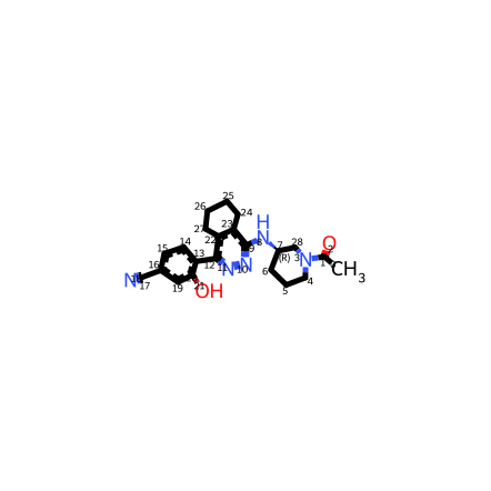 CC(=O)N1CCC[C@@H](Nc2nnc(-c3ccc(C#N)cc3O)c3c2CCCC3)C1